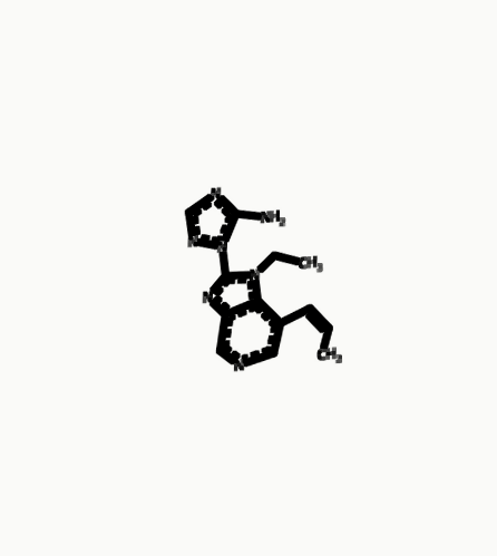 C/C=C\c1cncc2nc(-n3ncnc3N)n(CC)c12